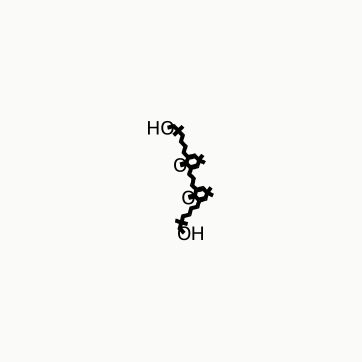 CC1(C)C=C(CCCCC(C)(C)CO)C(=O)C(CCCC2=CC(C)(C)C=C(CCCCC(C)(C)CO)C2=O)=C1